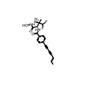 C/C=C/C#CC#Cc1ccc(C(=O)N[C@H](C(=O)NO)C(C)(N)C(F)F)cc1